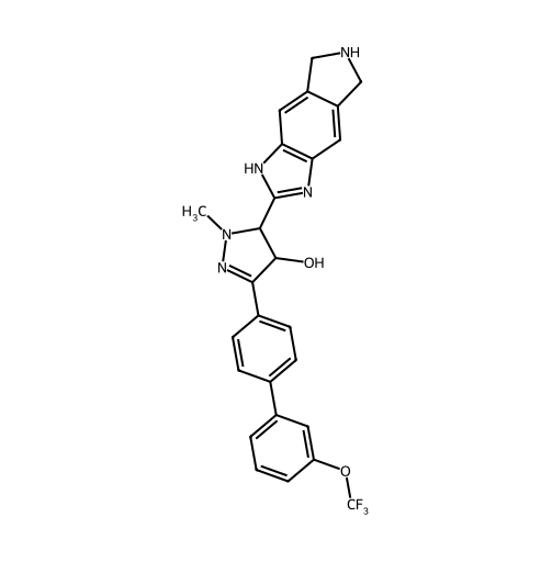 CN1N=C(c2ccc(-c3cccc(OC(F)(F)F)c3)cc2)C(O)C1c1nc2cc3c(cc2[nH]1)CNC3